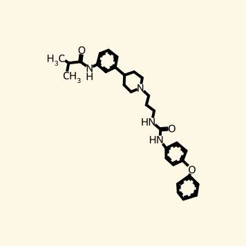 CC(C)C(=O)Nc1cccc(C2CCN(CCCNC(=O)Nc3ccc(Oc4ccccc4)cc3)CC2)c1